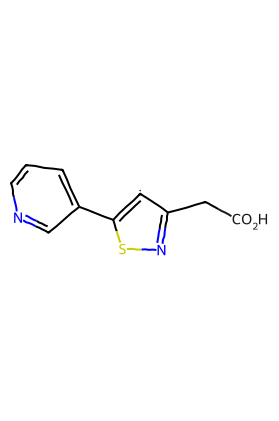 O=C(O)Cc1[c]c(-c2cccnc2)sn1